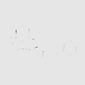 CC1([C@H]2[C@H](O)C(=O)CC[C@]23CO3)O[C@@H]1CC(=O)NCc1ccccc1